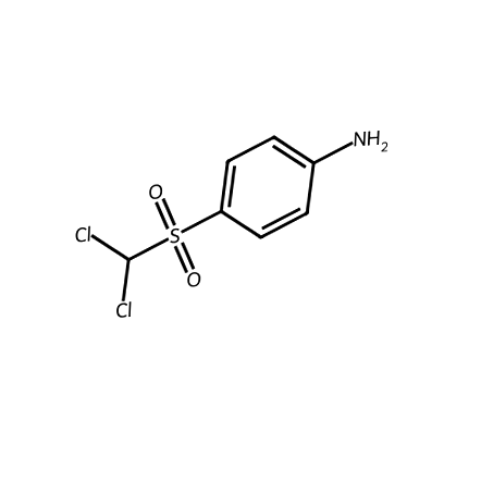 Nc1ccc(S(=O)(=O)C(Cl)Cl)cc1